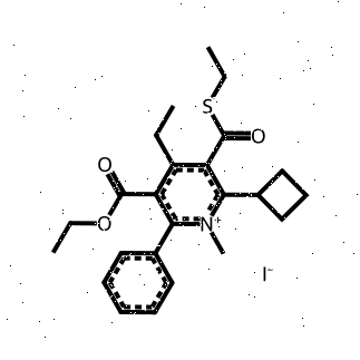 CCOC(=O)c1c(CC)c(C(=O)SCC)c(C2CCC2)[n+](C)c1-c1ccccc1.[I-]